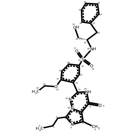 CCCc1nc(C)c2c(=O)[nH]c(-c3cc(S(=O)(=O)N[C@H](CO)Cc4ccccc4)ccc3OCC)nn12